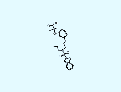 CCCN(CCCc1cccc(OC(C)(C)C(=O)O)c1)S(=O)(=O)c1cc2ccccc2o1